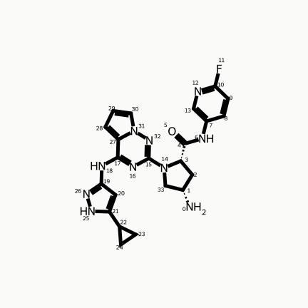 N[C@H]1C[C@@H](C(=O)Nc2ccc(F)nc2)N(c2nc(Nc3cc(C4CC4)[nH]n3)c3cccn3n2)C1